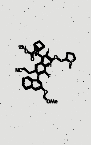 COCOc1cc(-c2c(CCC#N)cc3c(NC4C5CC4N(C(=O)OC(C)(C)C)C5)c(I)c(OCC4CCCN4C)nc3c2F)c2ccccc2c1